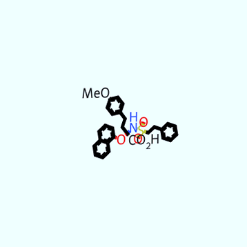 COc1ccc(CCC(NS(=O)(=O)CCc2ccccc2)(Oc2cccc3ccccc23)C(=O)O)cc1